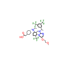 CCN(C[C@H]1CC[C@H](CC(=O)O)CC1)c1ccc(C(F)(F)F)cc1CN(c1ncc(OCCOC)cn1)C(C)c1cc(C(F)(F)F)cc(C(F)(F)F)c1